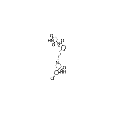 O=C1CCC(N2Cc3c(CCCCCN4CCC5(CC4)C(=O)Nc4cc(Cl)ccc45)cccc3C2=O)C(=O)N1